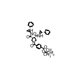 CC(C)(C)OC(=O)c1ccc(C(=O)N2C[C@@H](C(=O)N[C@H]3C[C@@H]3c3ccccc3)[C@H](C(=O)N[C@H]3C[C@@H]3c3ccccc3)C2)cc1